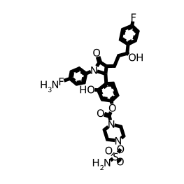 N.NS(=O)(=O)ON1CCN(C(=O)Oc2ccc(C3C(CCC(O)c4ccc(F)cc4)C(=O)N3c3ccc(F)cc3)c(O)c2)CC1